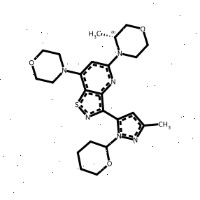 Cc1cc(-c2nsc3c(N4CCOCC4)cc(N4CCOC[C@H]4C)nc23)n(C2CCCCO2)n1